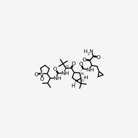 CC(C)C(NC(=O)N[C@H](C(=O)C1C[C@H]2[C@@H]([C@H]1C(=O)NC(CC1CC1)C(=O)C(N)=O)C2(C)C)C(C)(C)C)C1CCCS1(=O)=O